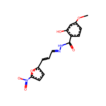 COc1ccc(C(=O)N/N=C/C=C/c2ccc([N+](=O)[O-])o2)c(O)c1